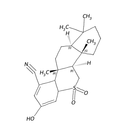 CC1(C)CCC[C@]2(C)[C@H]3CS(=O)(=O)C4C=C(O)C=C(C#N)C4[C@]3(C)CC[C@@H]12